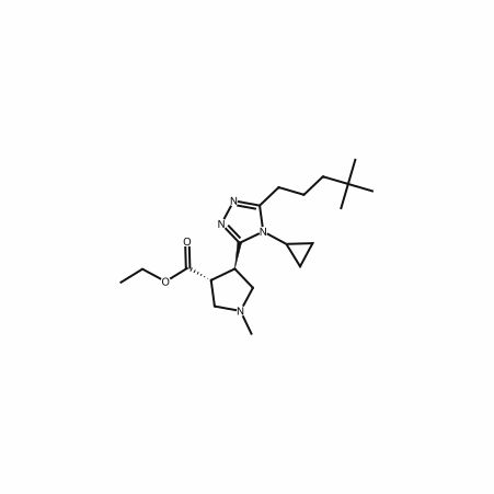 CCOC(=O)[C@H]1CN(C)C[C@@H]1c1nnc(CCCC(C)(C)C)n1C1CC1